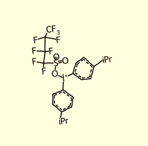 CC(C)c1ccc([I+](OS(=O)(=O)C(F)(F)C(F)(F)C(F)(F)C(F)(F)F)c2ccc(C(C)C)cc2)cc1